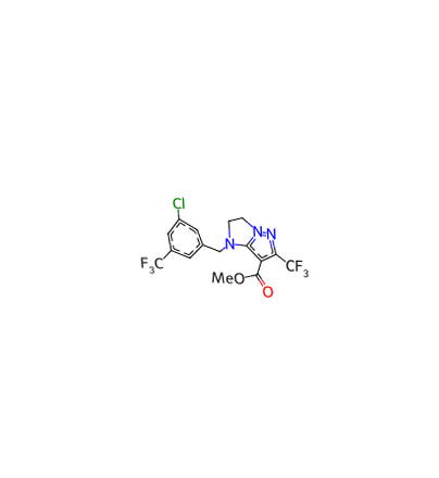 COC(=O)c1c(C(F)(F)F)nn2c1N(Cc1cc(Cl)cc(C(F)(F)F)c1)CC2